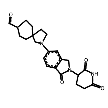 O=CC1CCC2(CC1)CCN(c1ccc3c(c1)CN(C1CCC(=O)NC1=O)C3=O)C2